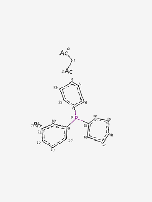 CC(=O)CC(C)=O.[Rh].c1ccc(P(c2ccccc2)c2ccccc2)cc1